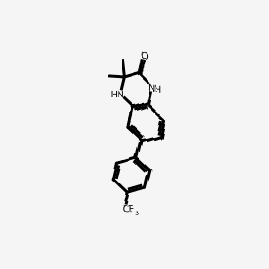 CC1(C)Nc2cc(-c3ccc(C(F)(F)F)cc3)ccc2NC1=O